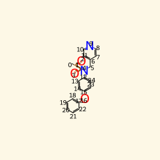 CS(=O)(=O)N(Cc1ccncc1)c1ccc(Oc2ccccc2)cc1